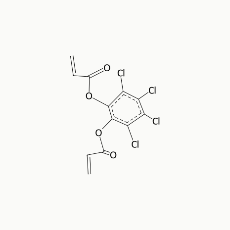 C=CC(=O)Oc1c(Cl)c(Cl)c(Cl)c(Cl)c1OC(=O)C=C